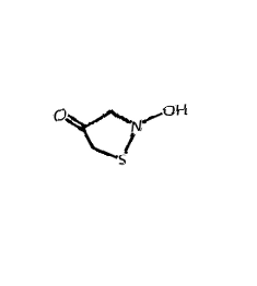 O=C1CSN(O)C1